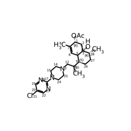 CC(=O)O[C@@H]1[C][C@]2(O)C(C=C1C)[C@H]([C@@H](C)CN1CCN(c3ncc(Cl)cn3)CC1)CC[C@H]2C